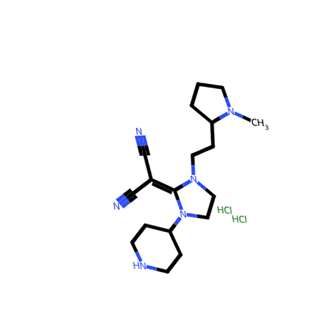 CN1CCCC1CCN1CCN(C2CCNCC2)C1=C(C#N)C#N.Cl.Cl